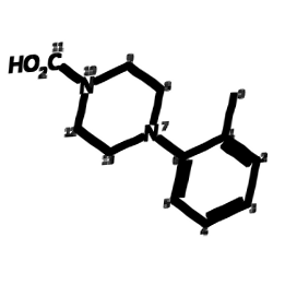 Cc1ccccc1N1CCN(C(=O)O)CC1